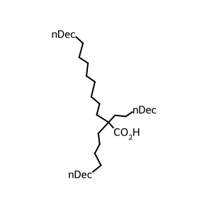 CCCCCCCCCCCCCCCCCCC(CCCCCCCCCCCC)(CCCCCCCCCCCCCC)C(=O)O